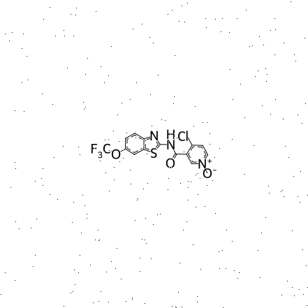 O=C(Nc1nc2ccc(OC(F)(F)F)cc2s1)c1c[n+]([O-])ccc1Cl